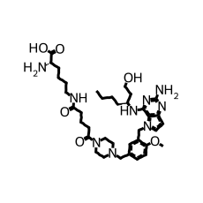 CCCC[C@@H](CCO)Nc1nc(N)nc2ccn(Cc3cc(CN4CCN(C(=O)CCCC(=O)NCCCC[C@H](N)C(=O)O)CC4)ccc3OC)c12